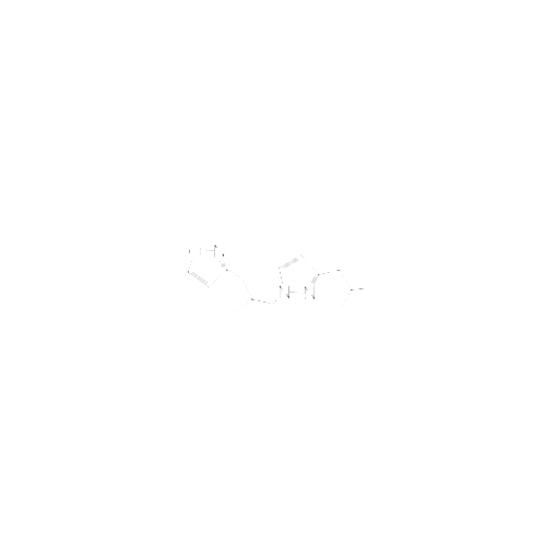 CC(C)Cc1ccn(CC(C)Cc2ccon2)n1